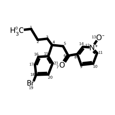 CCCCC(CC(=O)c1ccc[n+]([O-])c1)c1ccc(Br)cc1